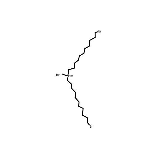 C[N+](C)(CCCCCCCCCCCBr)CCCCCCCCCCCBr.[Br-]